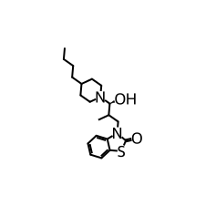 CCCCC1CCN([C@@H](O)C(C)Cn2c(=O)sc3ccccc32)CC1